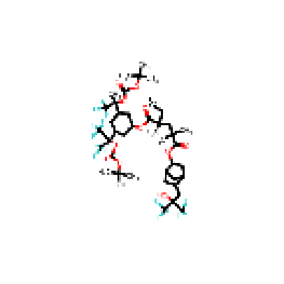 CCC(C)(CC(C)(C)C(=O)OC1CC2CC1CC2CC(O)(C(F)(F)F)C(F)(F)F)C(=O)OC1CC(C(C)(OC(=O)OC(C)(C)C)C(F)(F)F)CC(C(OC(=O)OC(C)(C)C)(C(F)(F)F)C(F)(F)F)C1